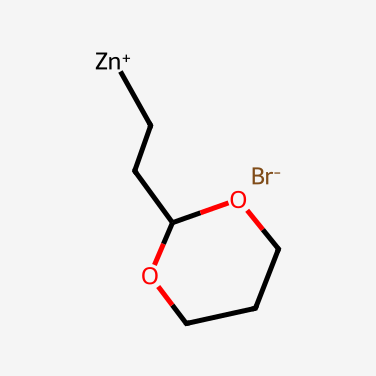 [Br-].[Zn+][CH2]CC1OCCCO1